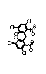 O=[N+]([O-])c1c(Cl)cc(Cl)c(Cl)c1Cc1c(Cl)c(Cl)cc(Cl)c1[N+](=O)[O-]